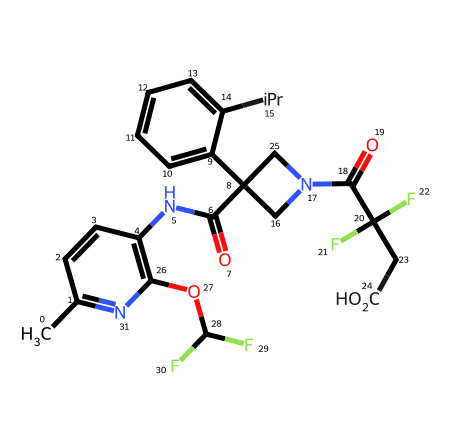 Cc1ccc(NC(=O)C2(c3ccccc3C(C)C)CN(C(=O)C(F)(F)CC(=O)O)C2)c(OC(F)F)n1